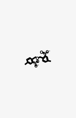 Cc1ccc(COCc2ccc(C)cc2[N+](=O)[O-])c([N+](=O)[O-])c1